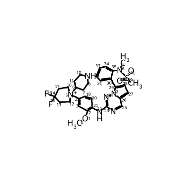 COc1cc([N+]2(C3CCNCC3)CCC(F)(F)CC2)ccc1Nc1ncc2ccc(-c3ccccc3N(C)S(C)(=O)=O)n2n1